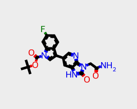 CC(C)(C)OC(=O)n1cc(-c2cnc3c(c2)[nH]c(=O)n3CC(N)=O)c2ccc(F)cc21